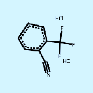 Cl.Cl.N#Cc1ccccc1C(F)(F)F